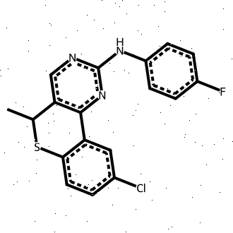 CC1Sc2ccc(Cl)cc2-c2nc(Nc3ccc(F)cc3)ncc21